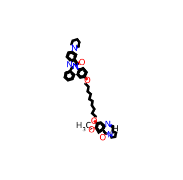 COc1cc2c(cc1OCCCCCCCCCCOc1ccc(-n3c(-c4ccccc4)nc4ccc(N5CCCCC5)cc4c3=O)cc1)N=C[C@@H]1CCCN1C2=O